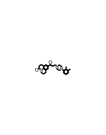 Cc1cccc(N2CCN(CCC(=O)c3cc4c5c(c3)CCC(=O)N5CCC4)CC2)c1C